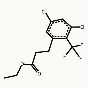 CCOC(=O)CCc1cc(Cl)cc(Cl)c1C(F)(F)F